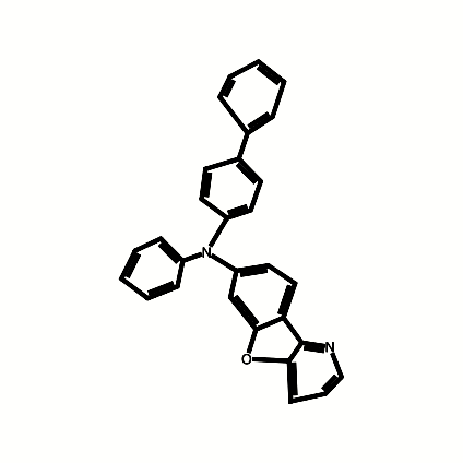 c1ccc(-c2ccc(N(c3ccccc3)c3ccc4c(c3)oc3cccnc34)cc2)cc1